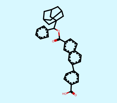 O=C(O)c1ccc(-c2ccc3ccc(C(=O)OC(c4ccccc4)C45CC6CC(CC(C6)C4)C5)cc3c2)cc1